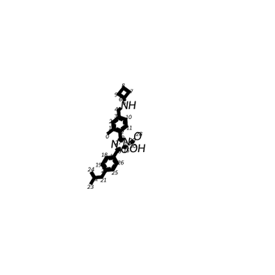 Cc1cc(CNC2CCC2)ccc1-c1noc(-c2ccc(CC(C)C)cc2)n1.O=CO